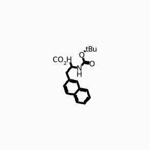 CC(C)(C)OC(=O)NC(Cc1ccc2ccccc2c1)C(=O)O